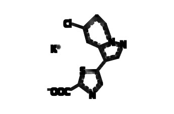 O=C([O-])c1ncc(-c2cnn3ccc(Cl)cc23)s1.[K+]